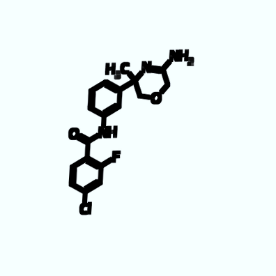 CC1(c2cccc(NC(=O)c3ccc(Cl)cc3F)c2)COCC(N)=N1